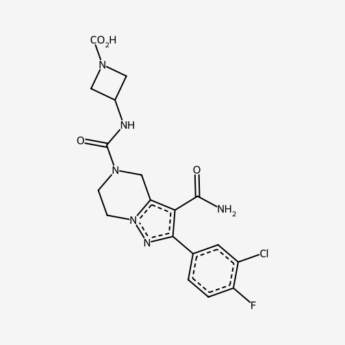 NC(=O)c1c(-c2ccc(F)c(Cl)c2)nn2c1CN(C(=O)NC1CN(C(=O)O)C1)CC2